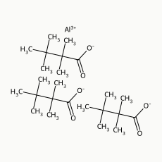 CC(C)(C)C(C)(C)C(=O)[O-].CC(C)(C)C(C)(C)C(=O)[O-].CC(C)(C)C(C)(C)C(=O)[O-].[Al+3]